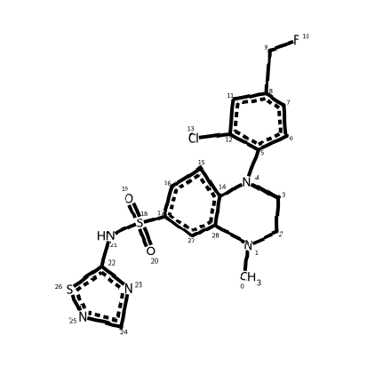 CN1CCN(c2ccc(CF)cc2Cl)c2ccc(S(=O)(=O)Nc3ncns3)cc21